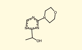 CC(O)c1ncnc(N2CCOCC2)n1